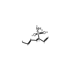 C=CC(=CC=CC)S(N)(=O)=O